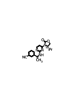 CC(C)[C@H]1COC(=O)N1c1ccnc(N[C@@H](C)c2cccc(C#N)c2)n1